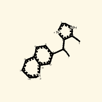 Cc1[nH]cnc1C(C)c1ccc2cccnc2c1